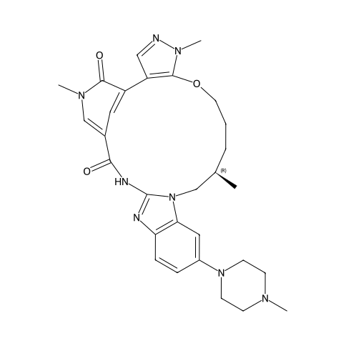 C[C@@H]1CCCOc2c(cnn2C)-c2cc(cn(C)c2=O)C(=O)Nc2nc3ccc(N4CCN(C)CC4)cc3n2C1